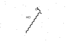 CCCCCCCCCCCCCCN(C)CC1CO1.Cl